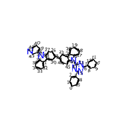 c1ccc(-c2nc(-c3ccccc3)nc(-n3c4ccccc4c4cc(-c5ccc6c(c5)c5ccccc5n6-c5cccnc5)ccc43)n2)cc1